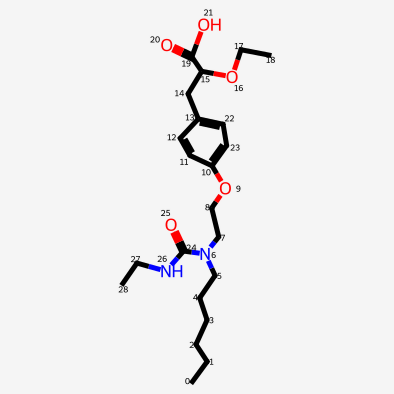 CCCCCCN(CCOc1ccc(CC(OCC)C(=O)O)cc1)C(=O)NCC